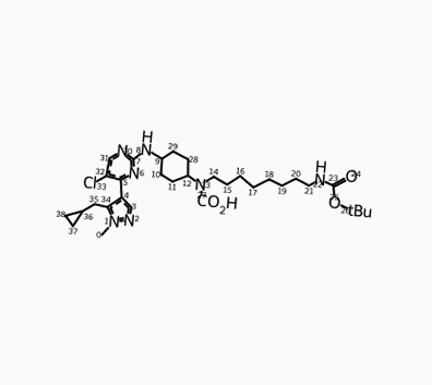 Cn1ncc(-c2nc(NC3CCC(N(CCCCCCCCNC(=O)OC(C)(C)C)C(=O)O)CC3)ncc2Cl)c1CC1CC1